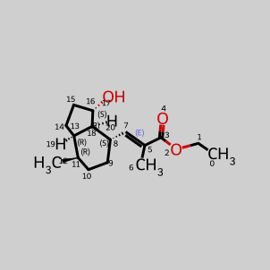 CCOC(=O)/C(C)=C/[C@@H]1CC[C@@H](C)[C@H]2CC[C@H](O)[C@H]21